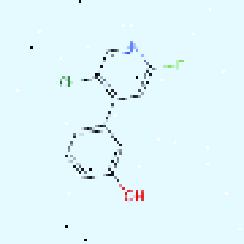 Oc1cccc(-c2cc(F)ncc2Cl)c1